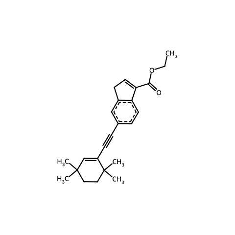 CCOC(=O)C1=CCc2cc(C#CC3=CC(C)(C)CCC3(C)C)ccc21